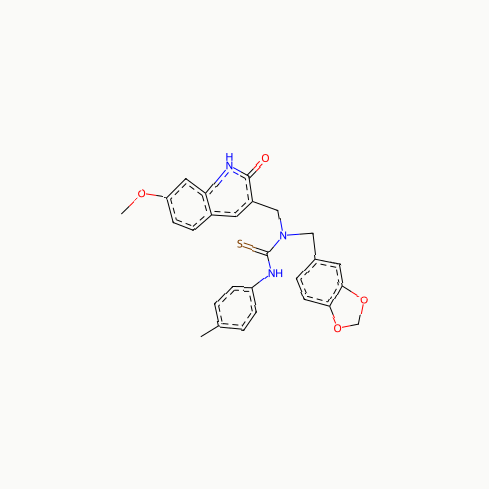 COc1ccc2cc(CN(Cc3ccc4c(c3)OCO4)C(=S)Nc3ccc(C)cc3)c(=O)[nH]c2c1